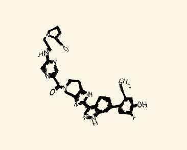 CCc1cc(O)c(F)cc1-c1ccc2c(-c3nc4c([nH]3)CCN(C(=O)c3cnc(NCCN5CCCC5=O)cn3)C4)n[nH]c2c1